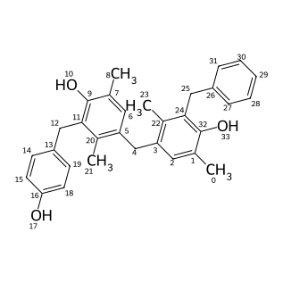 Cc1cc(Cc2cc(C)c(O)c(Cc3ccc(O)cc3)c2C)c(C)c(Cc2ccccc2)c1O